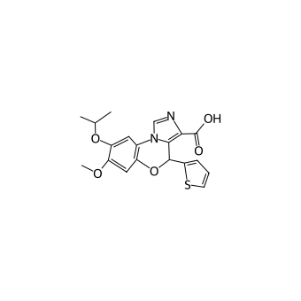 COc1cc2c(cc1OC(C)C)-n1cnc(C(=O)O)c1C(c1cccs1)O2